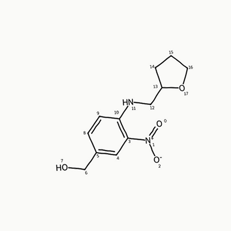 O=[N+]([O-])c1cc(CO)ccc1NCC1CCCO1